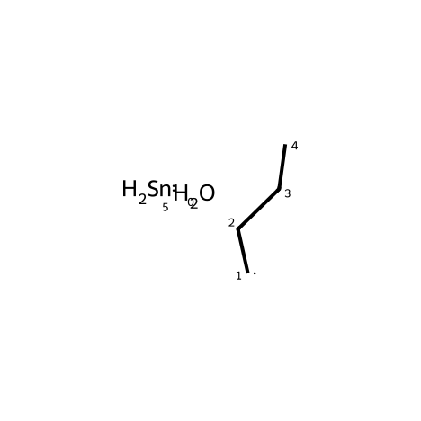 O.[CH2]CCC.[SnH2]